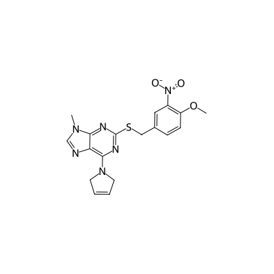 COc1ccc(CSc2nc(N3CC=CC3)c3ncn(C)c3n2)cc1[N+](=O)[O-]